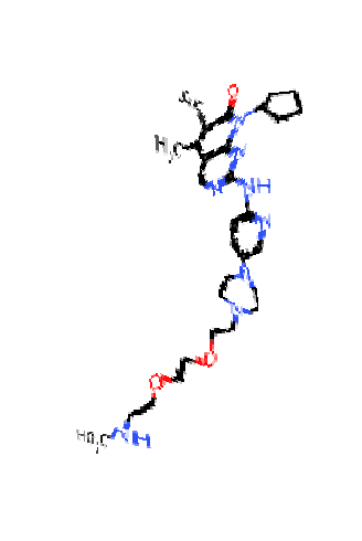 CC(=O)c1c(C)c2cnc(Nc3ccc(N4CCN(CCOCCOCCNC(=O)O)CC4)cn3)nc2n(C2CCCC2)c1=O